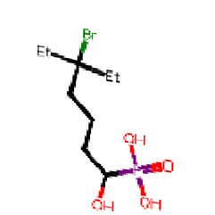 CCC(Br)(CC)CCCC(O)P(=O)(O)O